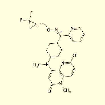 CN(c1cc(=O)n(C)c2ccc(Cl)nc12)C1CCC(/C(=N\OC[C@@H]2CC2(F)F)c2ccccn2)CC1